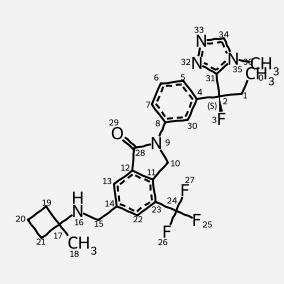 CC[C@](F)(c1cccc(N2Cc3c(cc(CNC4(C)CCC4)cc3C(F)(F)F)C2=O)c1)c1nncn1C